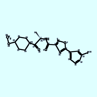 C[C@H](NC(=O)c1noc(-c2cccc(F)c2)n1)C(=O)N1CCC(OC(F)(F)F)CC1